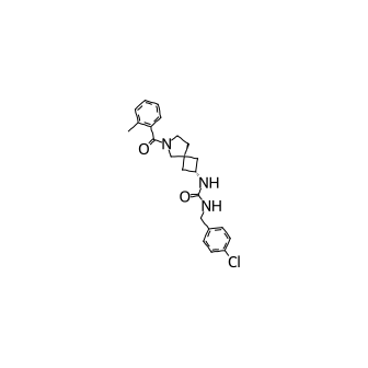 Cc1ccccc1C(=O)N1CC[C@]2(C1)C[C@@H](NC(=O)NCc1ccc(Cl)cc1)C2